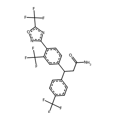 NC(=O)CC(c1ccc(C(F)(F)F)cc1)c1ccc(-c2noc(C(F)(F)F)n2)c(C(F)(F)F)c1